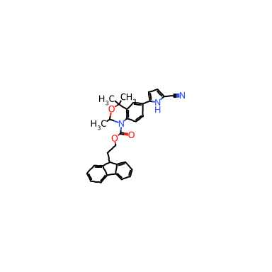 CC1OC(C)(C)c2cc(-c3ccc(C#N)[nH]3)ccc2N1C(=O)OCCC1c2ccccc2-c2ccccc21